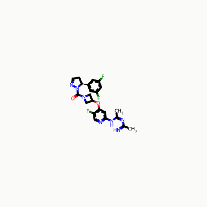 CC(=N)/N=C(/C)Nc1cc(OC2CN(C(=O)N3N=CC[C@H]3c3cc(F)cc(F)c3)C2)c(F)cn1